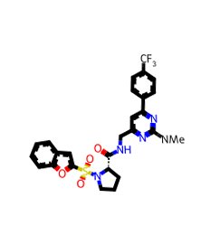 CNc1nc(CNC(=O)[C@@H]2CCCN2S(=O)(=O)c2cc3ccccc3o2)cc(-c2ccc(C(F)(F)F)cc2)n1